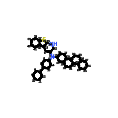 C1=C(N(c2ccc(-c3ccccc3)cc2)c2ccc3c(ccc4c5ccccc5ccc34)c2)CNc2sc3ccccc3c21